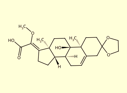 CO/C(C(=O)O)=C1/CC[C@H]2[C@@H]3CC=C4CC5(CC[C@]4(C)[C@@]3(O)CC[C@]12C)OCCO5